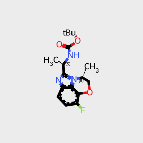 C[C@H](NC(=O)OC(C)(C)C)c1nc2ccc(F)c3c2n1[C@H](C)CO3